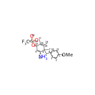 COc1ccc(CC2(C)C=CC(OS(=O)(=O)C(F)(F)F)C(C)=C2C)cc1.N